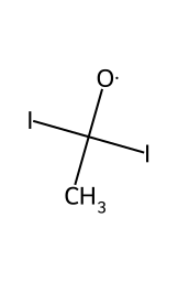 CC([O])(I)I